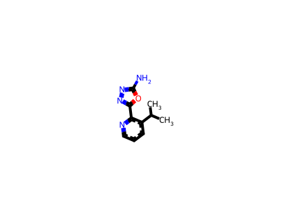 CC(C)c1cccnc1-c1nnc(N)o1